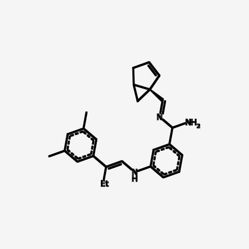 CC/C(=C\Nc1cccc(C(N)/N=C/[C@]23C=CCC2C3)c1)c1cc(C)cc(C)c1